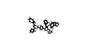 c1ccc(-c2cc(-c3ccccc3)nc(-c3ccc(-c4ccc(N(c5ccccc5)c5ccc6sc7ccccc7c6c5)c5oc6ccccc6c45)cc3)n2)cc1